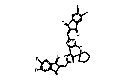 O=C1C(=Cc2nc3c(s2)-c2sc(C=C4C(=O)c5cc(F)c(F)cc5C4=O)nc2C2(CCCCC2)O3)C(=O)c2cc(F)c(F)cc21